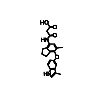 Cc1cc(NC(=O)CC(=O)O)c2c(c1Oc1ccc3[nH]cc(C)c3c1)CCC2